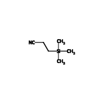 C[Si](C)(C)CCC#N